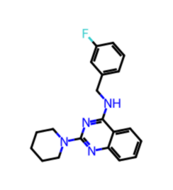 Fc1cccc(CNc2nc(N3CCCCC3)nc3ccccc23)c1